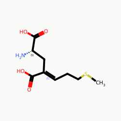 CSCC/C=C(\C[C@H](N)C(=O)O)C(=O)O